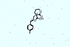 Cc1ccc(/C=C/C[C@@]2(C(=O)O)CCCOC2=O)cc1